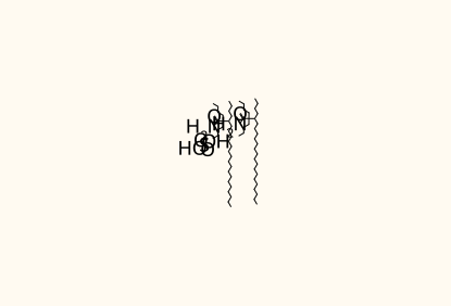 CCCCCCCCCCCCCCCCCC(CCCC)C(CCCC)(CCCC)C(N)=O.CCCCCCCCCCCCCCCCCC(CCCC)C(CCCC)(CCCC)C(N)=O.O=S(=O)(O)O